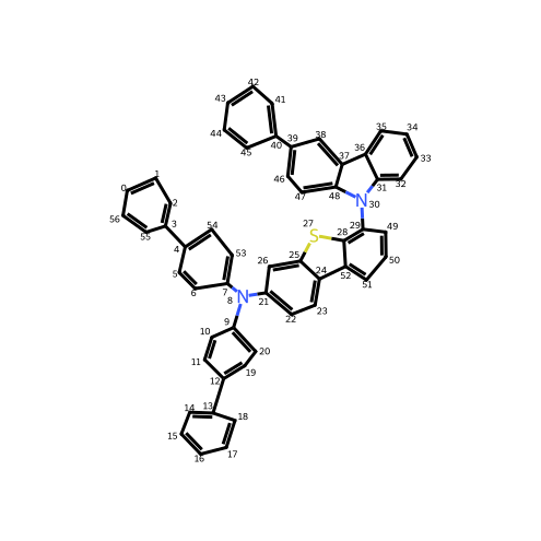 c1ccc(-c2ccc(N(c3ccc(-c4ccccc4)cc3)c3ccc4c(c3)sc3c(-n5c6ccccc6c6cc(-c7ccccc7)ccc65)cccc34)cc2)cc1